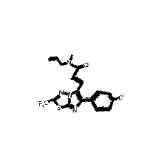 C=CCN(C)C(=O)/C=C/c1c(-c2ccc(Cl)cc2)nc2sc(C(F)(F)F)nn12